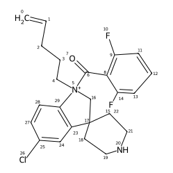 C=CCCC[N+]1(C(=O)c2c(F)cccc2F)CC2(CCNCC2)c2cc(Cl)ccc21